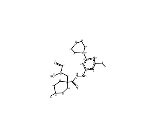 CCc1nc(NNC(=O)C2(CN(O)C=O)CCC(C)CC2)nc(N2CCOCC2)n1